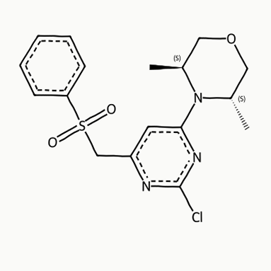 C[C@H]1COC[C@H](C)N1c1cc(CS(=O)(=O)c2ccccc2)nc(Cl)n1